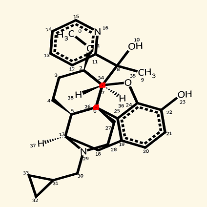 CO[C@]12CC[C@@]3(C[C@@H]1C(C)(O)c1ccccn1)[C@H]1Cc4ccc(O)c5c4[C@@]3(CCN1CC1CC1)[C@H]2O5